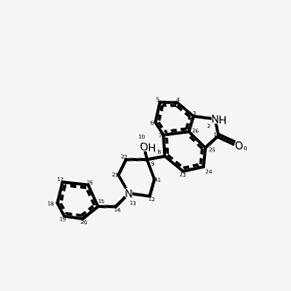 O=C1Nc2cccc3c(C4(O)CCN(Cc5ccccc5)CC4)ccc1c23